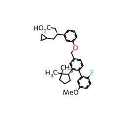 COc1ccc(F)c(-c2ccc(COc3cccc([C@H](CC(=O)O)CC4CC4)c3)cc2[C@H]2CCCC2(C)C)c1